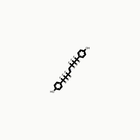 Oc1ccc(C(F)(F)C(F)(F)C(F)(F)/C=C/C(F)(F)C(F)(F)C(F)(F)c2ccc(O)cc2)cc1